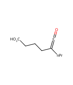 CCCC(=C=O)CCCC(=O)O